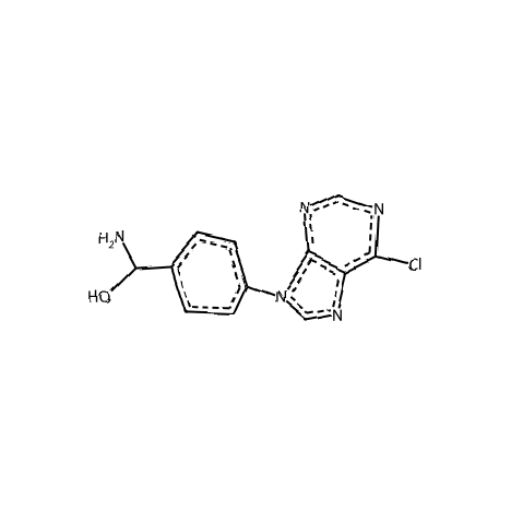 NC(O)c1ccc(-n2cnc3c(Cl)ncnc32)cc1